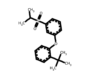 CC(C)S(=O)(=O)c1cccc(Oc2ccccc2C(C)(C)C)c1